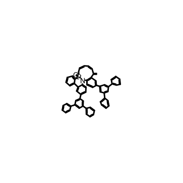 C=C1/C=C\C=C/CP2(=O)c3ccccc3-c3cc(-c4cc(-c5ccccc5)cc(-c5ccccc5)c4)ccc3N2c2ccc(-c3cc(-c4ccccc4)cc(-c4ccccc4)c3)cc21